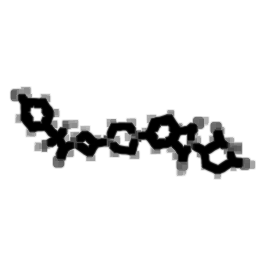 O=C1CCC(N2C(=O)c3ccc(N4CCN(C5CN(C(=O)C(F)(F)c6ccc(Cl)cc6)C5)CC4)cc3C2=O)C(=O)N1